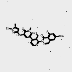 CCn1nc(Nc2cc(-c3ccnc(-n4ncc5cc(C(C)(C)C)cc(F)c5c4=O)c3CO)cn(C)c2=O)cc1C